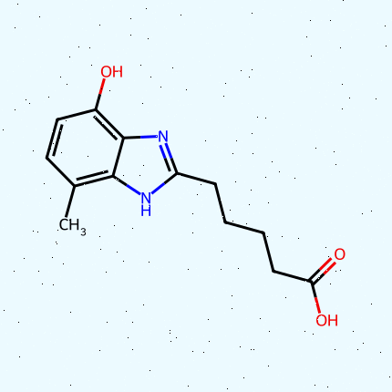 Cc1ccc(O)c2nc(CCCCC(=O)O)[nH]c12